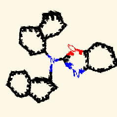 c1ccc2c(N(c3nc4ccccc4o3)c3cccc4ccccc34)cccc2c1